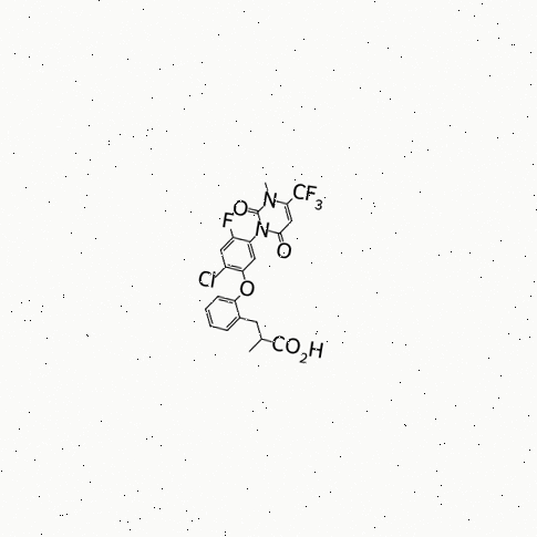 CC(Cc1ccccc1Oc1cc(-n2c(=O)cc(C(F)(F)F)n(C)c2=O)c(F)cc1Cl)C(=O)O